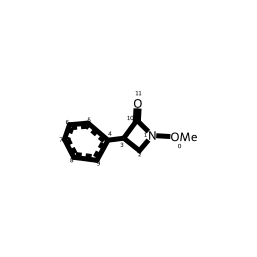 CON1CC(c2ccccc2)C1=O